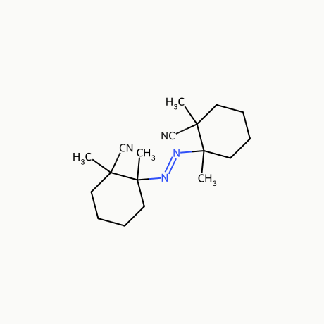 CC1(C#N)CCCCC1(C)N=NC1(C)CCCCC1(C)C#N